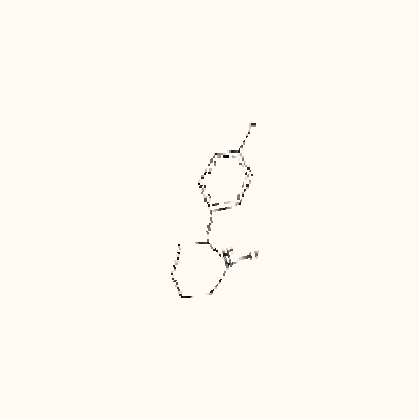 [O-][NH+]1CCCCC1c1ccc(F)cc1